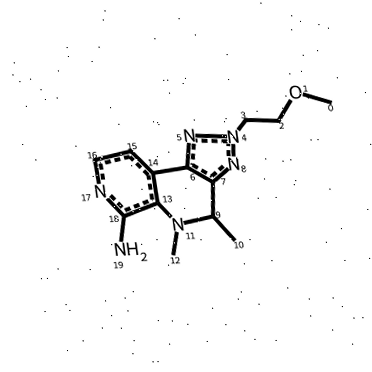 COCCn1nc2c(n1)C(C)N(C)c1c-2ccnc1N